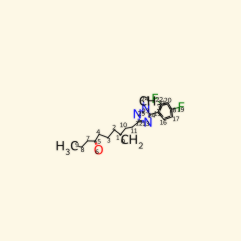 C=C(CCCC(=O)CCC)CCc1nc(-c2ccc(F)cc2F)n(C)n1